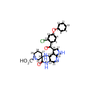 O=C(c1ccc(Oc2ccccc2)cc1Cl)c1c[nH]c2ncc3c(c12)NC1(CCCN(C(=O)O)C1)C(=O)N3